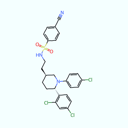 N#Cc1ccc(S(=O)(=O)NCC[C@@H]2CC[C@@H](c3ccc(Cl)cc3Cl)N(c3ccc(Cl)cc3)C2)cc1